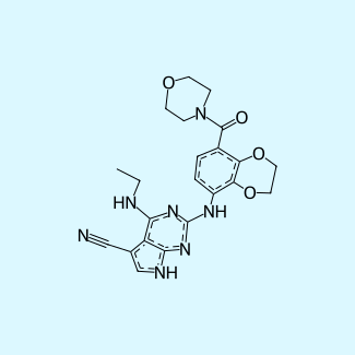 CCNc1nc(Nc2ccc(C(=O)N3CCOCC3)c3c2OCCO3)nc2[nH]cc(C#N)c12